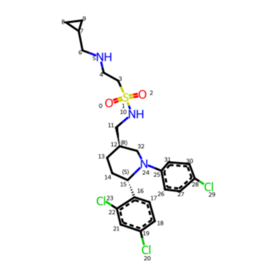 O=S(=O)(CCNCC1CC1)NC[C@@H]1CC[C@@H](c2ccc(Cl)cc2Cl)N(c2ccc(Cl)cc2)C1